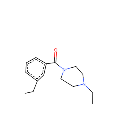 CCc1cccc(C(=O)N2CCN(CC)CC2)c1